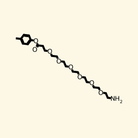 Cc1ccc(OC(=O)CCOCCOCCOCCOCCOCCOCCN)cc1